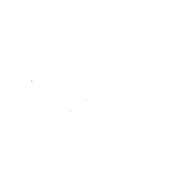 CC(Br)c1cnn(-c2ccc(OC(F)(F)F)cc2)c1